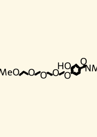 CNC(=O)c1ccc(OCCOCCOCCOCCCOC)c(O)c1